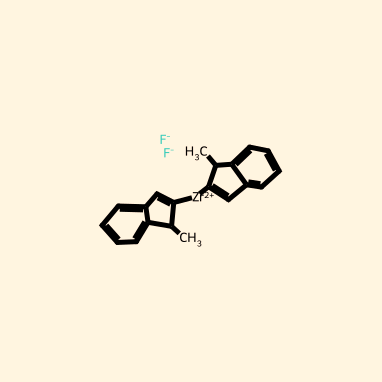 CC1[C]([Zr+2][C]2=Cc3ccccc3C2C)=Cc2ccccc21.[F-].[F-]